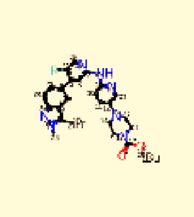 CC(C)c1c2cc(-c3cc(Nc4ccc(N5CCN(C(=O)OC(C)(C)C)CC5)cn4)ncc3F)ccc2nn1C